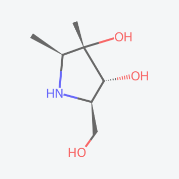 C[C@@H]1N[C@H](CO)[C@@H](O)[C@@]1(C)O